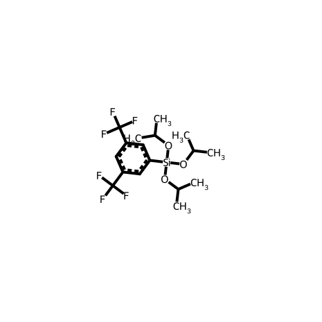 CC(C)O[Si](OC(C)C)(OC(C)C)c1cc(C(F)(F)F)cc(C(F)(F)F)c1